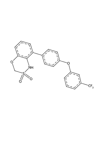 O=S1(=O)COc2cccc(-c3ccc(Oc4cccc(C(F)(F)F)c4)cc3)c2N1